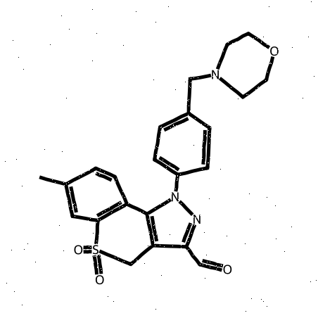 Cc1ccc2c(c1)S(=O)(=O)Cc1c(C=O)nn(-c3ccc(CN4CCOCC4)cc3)c1-2